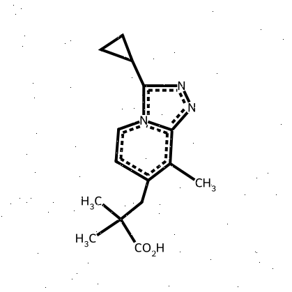 Cc1c(CC(C)(C)C(=O)O)ccn2c(C3CC3)nnc12